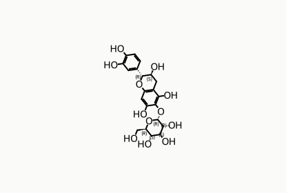 OC[C@H]1O[C@H](Oc2c(O)cc3c(c2O)C[C@H](O)[C@@H](c2ccc(O)c(O)c2)O3)[C@H](O)[C@@H](O)[C@@H]1O